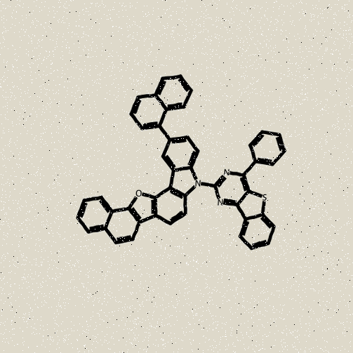 c1ccc(-c2nc(-n3c4ccc(-c5cccc6ccccc56)cc4c4c5oc6c7ccccc7ccc6c5ccc43)nc3c2sc2ccccc23)cc1